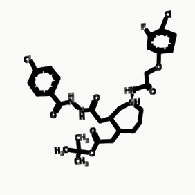 CC(C)(C)OC(=O)CC1CCC[Si@@H](NC(=O)COc2ccc(Cl)c(F)c2)CC1CC(=O)NNC(=O)c1ccc(Cl)cc1